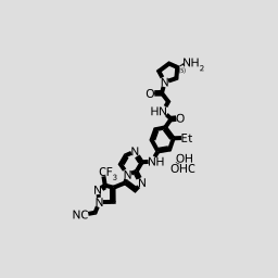 CCc1cc(Nc2nccn3c(-c4cn(CC#N)nc4C(F)(F)F)cnc23)ccc1C(=O)NCC(=O)N1CC[C@H](N)C1.O=CO